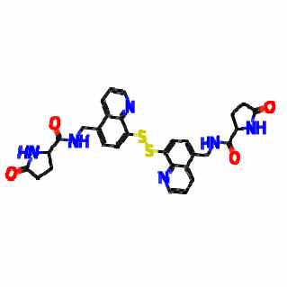 O=C1CCC(C(=O)NCc2ccc(SSc3ccc(CNC(=O)C4CCC(=O)N4)c4cccnc34)c3ncccc23)N1